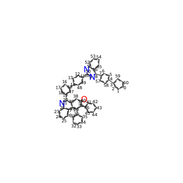 c1ccc(-c2ccc(-c3nc(-c4ccc(-c5cccc(-c6nc7ccccc7c7c(-c8ccccc8)c8c(cc67)oc6ccccc68)c5)cc4)nc4ccccc34)cc2)cc1